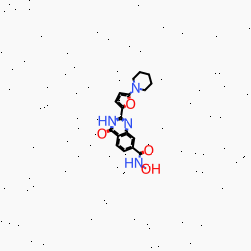 O=C(NO)c1ccc2c(=O)[nH]c(-c3ccc(N4CCCCC4)o3)nc2c1